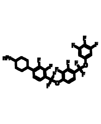 CCCC1CCC(c2ccc(C(F)(F)Oc3ccc(C(F)(F)Oc4cc(F)c(F)c(F)c4)c(F)c3F)c(F)c2F)CC1